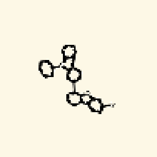 Brc1ccc2c(c1)oc1c(-c3ccc4c5ccccc5n(-c5ccccc5)c4c3)cccc12